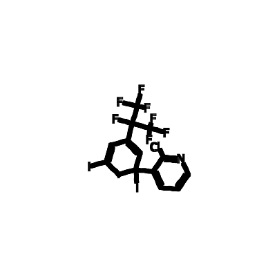 FC(F)(F)C(F)(C1=CC(I)(c2cccnc2Cl)[CH]C(I)=C1)C(F)(F)F